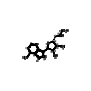 Nc1ncnc2c(C3O[C@H](CNS(=O)(=O)O)[C@@H](O)[C@H]3O)[nH]nc12